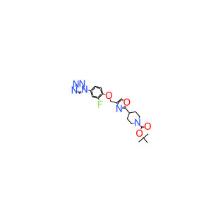 CC(C)(C)OC(=O)N1CCC(c2nc(COc3ccc(-n4cnnn4)cc3F)co2)CC1